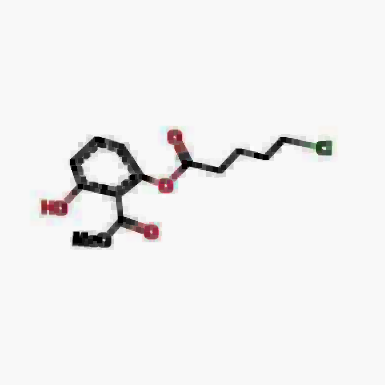 COC(=O)c1c(O)cccc1OC(=O)CCCCCl